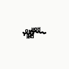 CCCCNCC(O)c1cnc(NC(=O)C(C)C)nc1.Cl